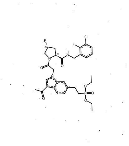 CCOP(=O)(CCc1ccc2c(C(C)=O)cn(CC(=O)N3C[C@H](F)C[C@H]3C(=O)NCc3cccc(Cl)c3F)c2c1)OCC